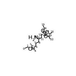 CCO[Si](C)(C)CCCC(N)CC[Si](OCC)(OCC)OCC